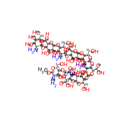 CO[C@H]1OC(CO)[C@@H](O[C@@H]2OC(C(=O)O)[C@@H](O[C@H]3OC(CO)[C@@H](O[C@@H]4OC(C(=O)O)[C@@H](O[C@H]5OC(CO)[C@@H](O[C@@H]6OC(C(=O)O)[C@@H](O[C@H]7OC(CO)[C@@H](O[C@@H]8OC(C(=O)O)[C@@H](O[C@H]9OC(CO)[C@@H](O)[C@H](O)C9N)[C@H](O)C8O)[C@H](O)C7N)[C@H](O)C6O)[C@H](O)C5N)[C@H](O)C4O)[C@H](O)C3N)[C@H](O)C2O)[C@H](O)C1N